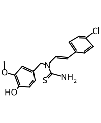 COc1cc(CN(C=Cc2ccc(Cl)cc2)C(N)=S)ccc1O